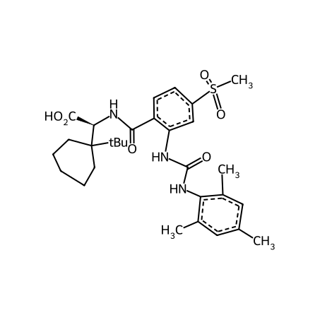 Cc1cc(C)c(NC(=O)Nc2cc(S(C)(=O)=O)ccc2C(=O)N[C@H](C(=O)O)C2(C(C)(C)C)CCCCC2)c(C)c1